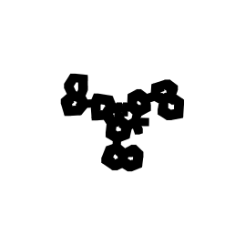 CC1(C)c2cc(-c3cccc4ccccc34)ccc2-n2c3ccc(-c4cccc5c4C=CCC5)cc3c3cc(-c4cccc5ccccc45)cc1c32